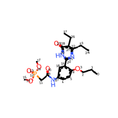 CCCOc1ccc(NC(=O)CP(=O)(OC)OC)cc1-c1nc(CC)c(CC)c(=O)[nH]1